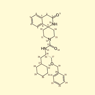 O=C1Cc2ccccc2C2(CCN(C(=O)N[C@H](COCc3ccccc3)CC3CCCCC3)CC2)N1